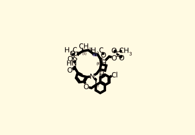 CO[C@]1(CCOS(C)(=O)=O)/C=C/C[C@H](C)[C@@H](C)S(=O)(=O)NC(=O)c2ccc3c(c2)N(C[C@@H]2CC[C@H]21)C[C@@]1(CCCc2cc(Cl)ccc21)CO3